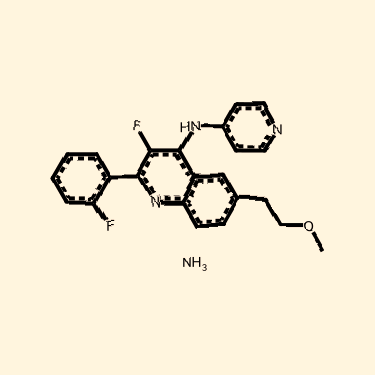 COCCc1ccc2nc(-c3ccccc3F)c(F)c(Nc3ccncc3)c2c1.N